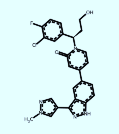 Cn1cc(-c2n[nH]c3ccc(-c4ccn([C@H](CCO)c5ccc(F)c(Cl)c5)c(=O)c4)cc23)cn1